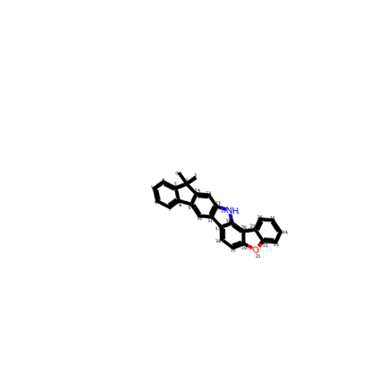 CC1(C)c2ccccc2-c2cc3c(cc21)[nH]c1c3ccc2oc3ccccc3c21